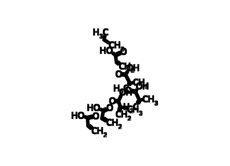 C=C(C)C(=O)O.C=C(C)C(=O)O.C=C(C)C(=O)O.C=CC(=O)O.C=CC(=O)O.C=CC(=O)O.CCC